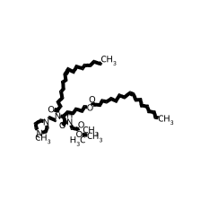 CCCCCCCC/C=C\CCCCCCCC(=O)OCCCCCC(C(=O)NCC(=O)OC(C)(C)C)N(CCN1CCCN(C)CC1)C(=O)CCCCCCC/C=C\CCCCCCCC